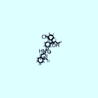 CCC[C@@](O)(c1cccc(Cl)c1)[C@@H]1CCCN(C(=O)N[C@H](CNC)CC2CCCCC2)C1